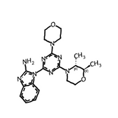 C[C@@H]1[C@@H](C)OCCN1c1nc(N2CCOCC2)nc(-n2c(N)nc3ccccc32)n1